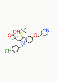 CC(C)(C)Sc1c(CC(C)(C)C(=O)O)n(Cc2ccc(Cl)cc2)c2ccc(OCc3ccncc3)cc12